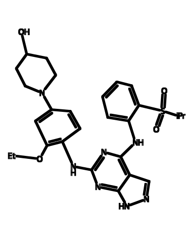 CCOc1cc(N2CCC(O)CC2)ccc1Nc1nc(Nc2ccccc2S(=O)(=O)C(C)C)c2cn[nH]c2n1